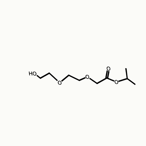 CC(C)OC(=O)COCCOCCO